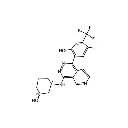 Oc1cc(C(F)(F)F)c(F)cc1-c1nnc(N[C@@H]2CCC[C@H](O)C2)c2cnccc12